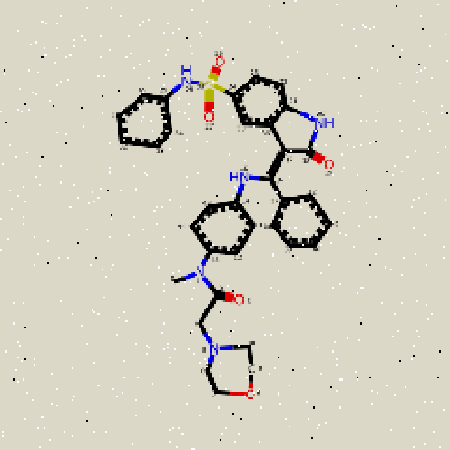 CN(C(=O)CN1CCOCC1)c1ccc(NC(=C2C(=O)Nc3ccc(S(=O)(=O)Nc4ccccc4)cc32)c2ccccc2)cc1